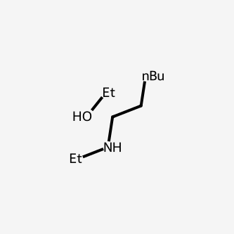 CCCCCCNCC.CCO